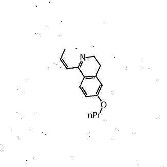 C/C=C\C1=NCCc2cc(OCCC)ccc21